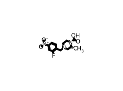 C[C@H]1CN(Cc2ccc([N+](=O)[O-])cc2F)CCN1C(=O)O